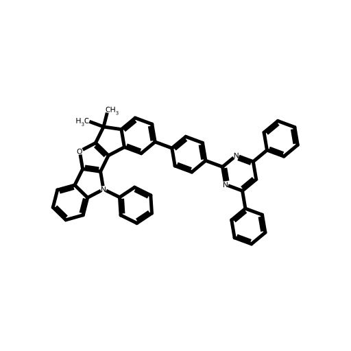 CC1(C)c2ccc(-c3ccc(-c4nc(-c5ccccc5)cc(-c5ccccc5)n4)cc3)cc2-c2c1oc1c3ccccc3n(-c3ccccc3)c21